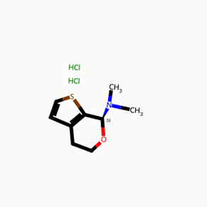 CN(C)[C@H]1OCCc2ccsc21.Cl.Cl